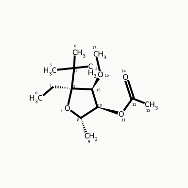 CC[C@@]1(C(C)(C)C)O[C@@H](C)[C@H](OC(C)=O)[C@@H]1OC